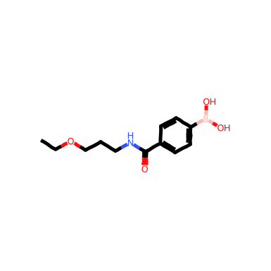 CCOCCCNC(=O)c1ccc(B(O)O)cc1